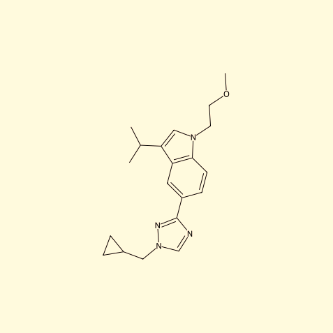 COCCn1cc(C(C)C)c2cc(-c3ncn(CC4CC4)n3)ccc21